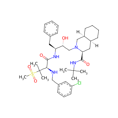 CC(C)(C)NC(=O)[C@@H]1C[C@@H]2CCCC[C@@H]2CN1C[C@@H](O)[C@H](Cc1ccccc1)NC(=O)[C@@H](NCc1cccc(Cl)c1)C(C)(C)S(C)(=O)=O